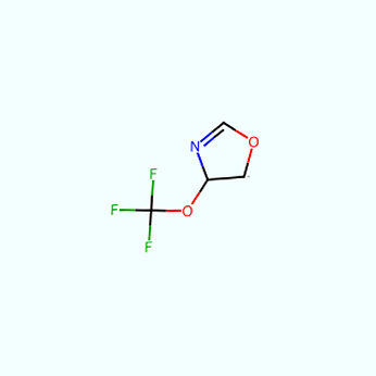 FC(F)(F)OC1[CH]OC=N1